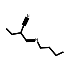 CCCCN=CC(C#N)CC